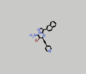 Nc1c(Br)c(C#Cc2ccncc2)nc2c(-c3ccc4ccccc4c3)cnn12